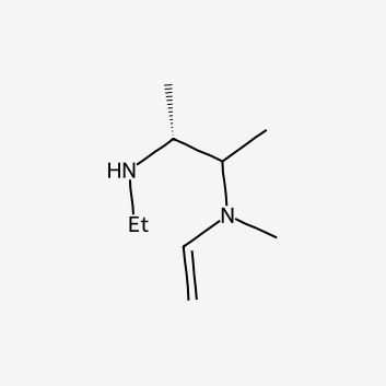 C=CN(C)C(C)[C@@H](C)NCC